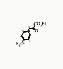 CCOC(=O)C(=O)Cc1ccc(C(F)(F)F)cc1